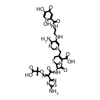 CC(C)(O/N=C(\C(=O)N[C@@H]1C(=O)N2C(C(=O)O)=C(CN3C=C(NCCNC(=O)c4cc(=O)c(O)cn4O)C(N)=NC3)CSC12)c1nsc(N)n1)C(=O)O